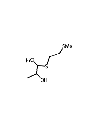 CSCCSC(O)C(C)O